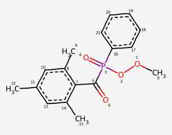 COOP(=O)(C(=O)c1c(C)cc(C)cc1C)c1ccccc1